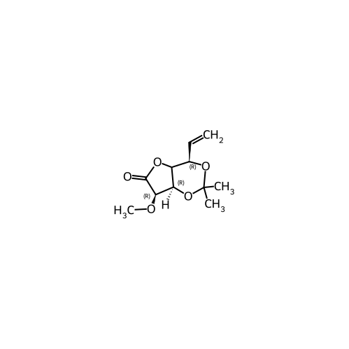 C=C[C@H]1OC(C)(C)O[C@@H]2C1OC(=O)[C@@H]2OC